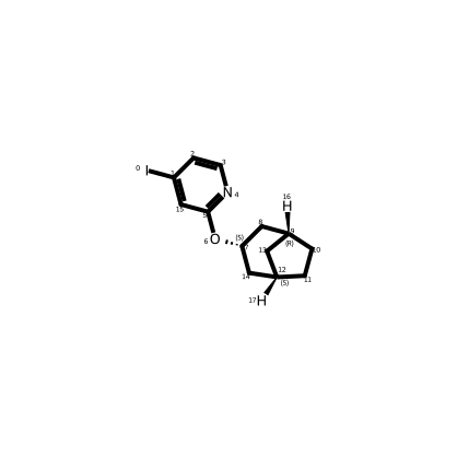 Ic1ccnc(O[C@@H]2C[C@@H]3CC[C@@H](C3)C2)c1